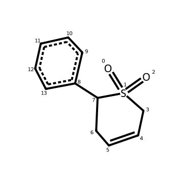 O=S1(=O)CC=CCC1c1ccccc1